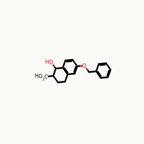 O=C(O)C1CCc2cc(OCc3ccccc3)ccc2C1O